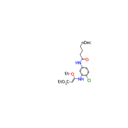 CCCCCCCCCCCCCC(=O)Nc1ccc(Cl)c(N/C(=C/C(=O)OCC)OCC)c1